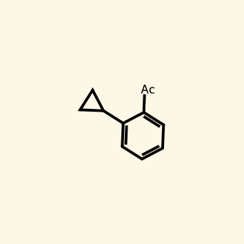 [CH2]C(=O)c1ccccc1C1CC1